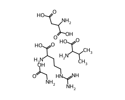 CC(C)C(N)C(=O)O.N=C(N)NCCCC(N)C(=O)O.NC(CC(=O)O)C(=O)O.NCC(=O)O